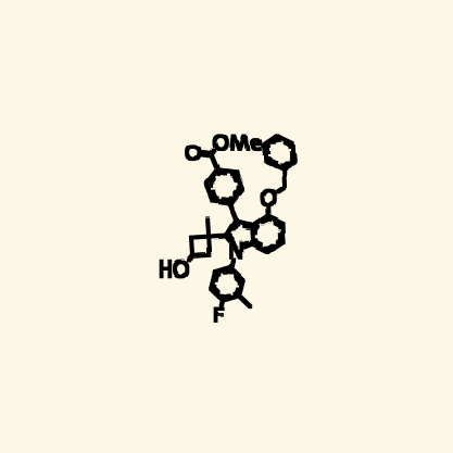 COC(=O)c1ccc(-c2c(C3(C)CC(O)C3)n(-c3ccc(F)c(C)c3)c3cccc(OCc4ccccc4)c23)cc1